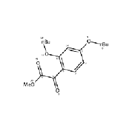 CCCCOc1ccc(C(=O)C(=O)OC)c(OCCCC)c1